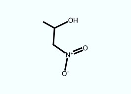 CC(O)C[N+](=O)[O-]